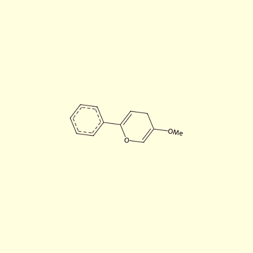 COC1=COC(c2ccccc2)=CC1